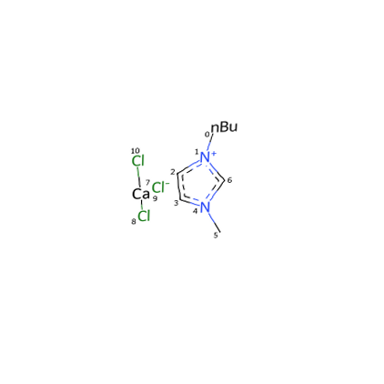 CCCC[n+]1ccn(C)c1.[Cl-].[Cl][Ca][Cl]